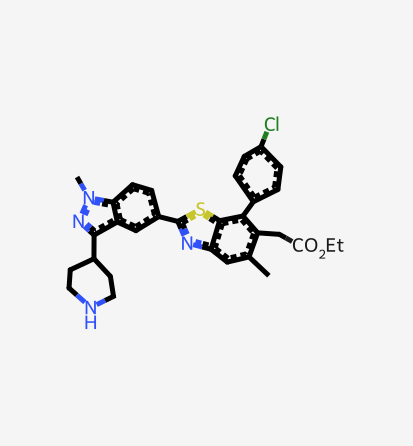 CCOC(=O)Cc1c(C)cc2nc(-c3ccc4c(c3)c(C3CCNCC3)nn4C)sc2c1-c1ccc(Cl)cc1